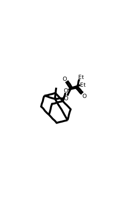 CCC(=O)OC12CC3CC(C1)C(C)(OC(=O)CC)C(C3)C2